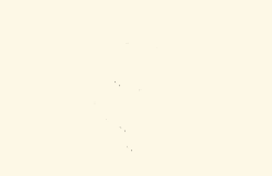 NNC(=O)[C@H](c1ccccc1)N(OC(=O)Cl)C(=O)OCc1ccccc1